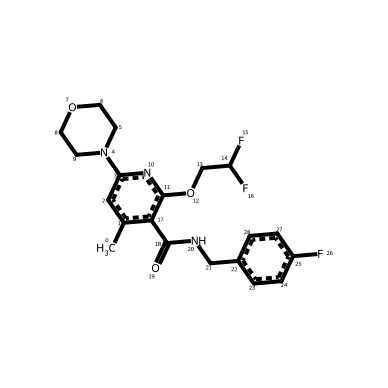 Cc1cc(N2CCOCC2)nc(OCC(F)F)c1C(=O)NCc1ccc(F)cc1